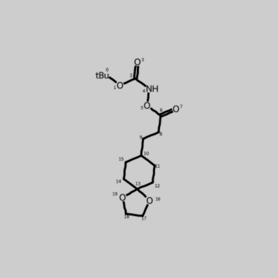 CC(C)(C)OC(=O)NOC(=O)CCC1CCC2(CC1)OCCO2